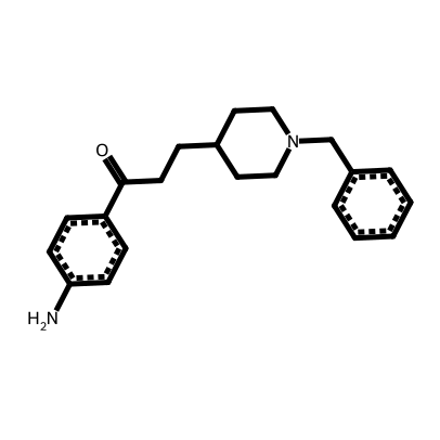 Nc1ccc(C(=O)CCC2CCN(Cc3ccccc3)CC2)cc1